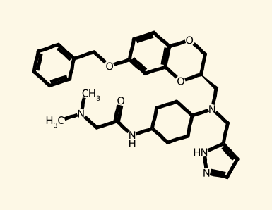 CN(C)CC(=O)NC1CCC(N(Cc2ccn[nH]2)C[C@@H]2COc3ccc(OCc4ccccc4)cc3O2)CC1